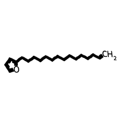 C=CCCCCCCCCCCCCCc1ccco1